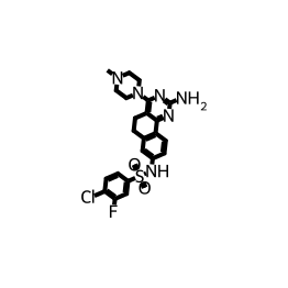 CN1CCN(c2nc(N)nc3c2CCc2cc(NS(=O)(=O)c4ccc(Cl)c(F)c4)ccc2-3)CC1